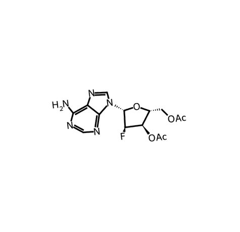 CC(=O)OC[C@H]1O[C@@H](n2cnc3c(N)ncnc32)[C@H](F)[C@@H]1OC(C)=O